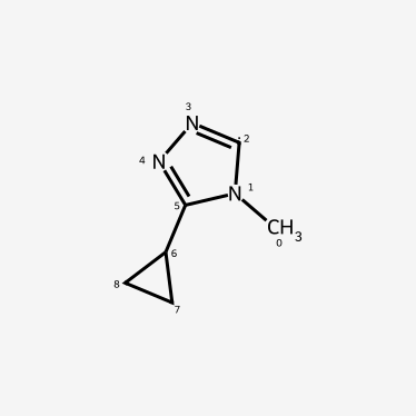 Cn1[c]nnc1C1CC1